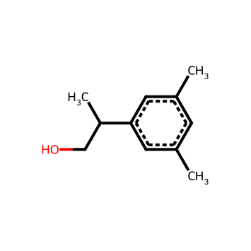 C[C](CO)c1cc(C)cc(C)c1